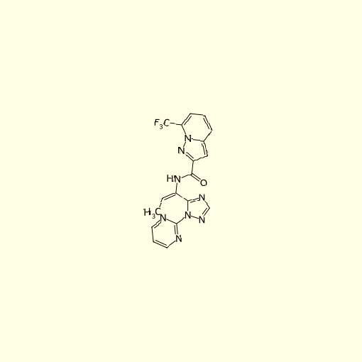 C/C=C(/NC(=O)c1cc2cccc(C(F)(F)F)n2n1)c1ncnn1-c1ncccn1